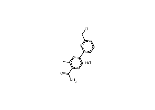 Cc1cc(-c2cccc(CCl)n2)ccc1C(N)=O.Cl